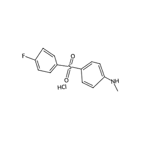 CNc1ccc(S(=O)(=O)c2ccc(F)cc2)cc1.Cl